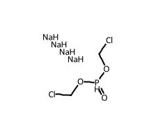 O=[PH](OCCl)OCCl.[NaH].[NaH].[NaH].[NaH]